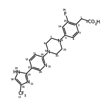 O=C(O)Cc1ccc(N2CCN(c3ccc(-c4nc(C(F)(F)F)c[nH]4)cn3)CC2)cc1F